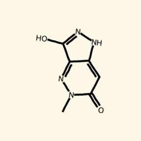 Cn1nc2c(O)n[nH]c2cc1=O